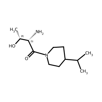 CC(C)C1CCN(C(=O)[C@@H](N)[C@@H](C)O)CC1